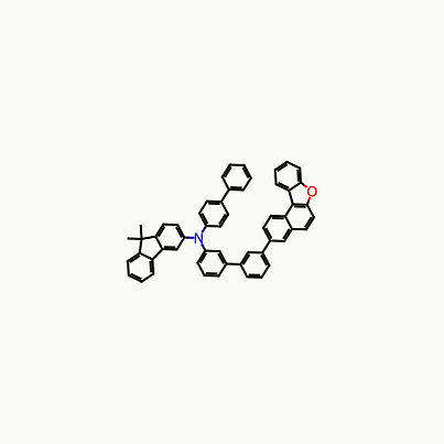 CC1(C)c2ccccc2-c2cc(N(c3ccc(-c4ccccc4)cc3)c3cccc(-c4cccc(-c5ccc6c(ccc7oc8ccccc8c76)c5)c4)c3)ccc21